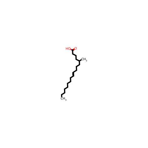 CCCCCCCCC=CCCCC(C)CCCC(=O)O